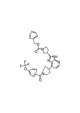 O=C(OCc1ccccc1)N1CC[C@@H](c2nc3c(C4CCN(C(=O)c5ccc(OC(F)(F)F)cc5)CC4)ccnc3[nH]2)C1